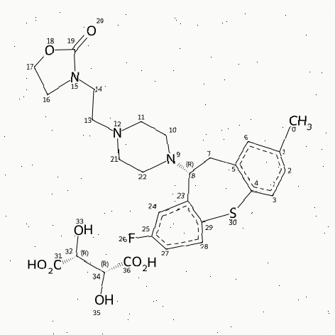 Cc1ccc2c(c1)C[C@@H](N1CCN(CCN3CCOC3=O)CC1)c1cc(F)ccc1S2.O=C(O)[C@H](O)[C@@H](O)C(=O)O